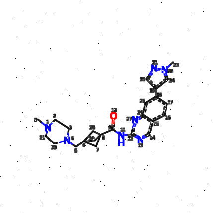 CN1CCN(CC23CC(C(=O)Nc4ncc5ccc(-c6cnn(C)c6)cc5n4)(C2)C3)CC1